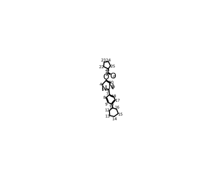 O=C(Oc1cnc(-c2ccc(C3CCCCC3)cc2)nc1)C1CCCC1